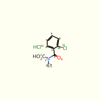 CCN(C(=O)O)C(=O)c1ccccc1Cl.Cl